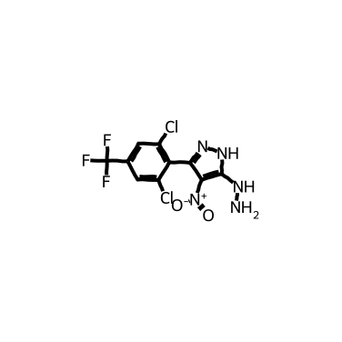 NNc1[nH]nc(-c2c(Cl)cc(C(F)(F)F)cc2Cl)c1[N+](=O)[O-]